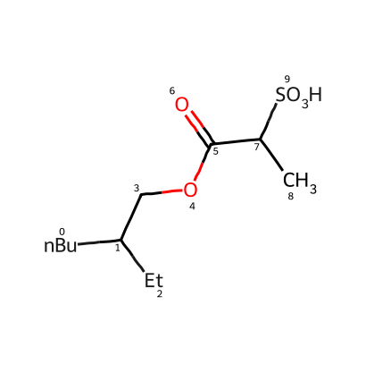 CCCCC(CC)COC(=O)C(C)S(=O)(=O)O